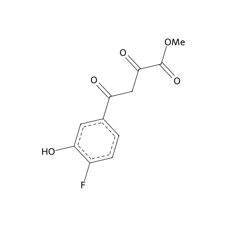 COC(=O)C(=O)CC(=O)c1ccc(F)c(O)c1